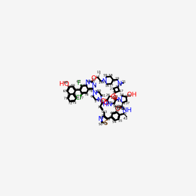 C=CC(=O)N1CCN(c2nc(O[C@H](C)CN3CCC(CN(C)C4CC(OCC(=O)N[C@H](C(=O)N5C[C@H](O)C[C@H]5C(=O)N[C@@H](C)c5ccc(-c6scnc6C)cc5)C(C)(C)C)C4)CC3)nc3c(F)c(-c4cc(O)cc5ccccc45)c(Cl)cc23)CC1